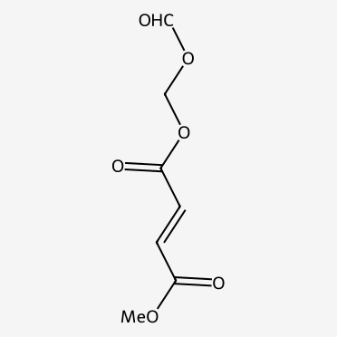 COC(=O)/C=C/C(=O)OCOC=O